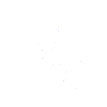 CCc1c(C(=O)OC)ccc(Cl)c1C#N